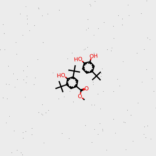 CC(C)(C)c1ccc(O)c(O)c1.COC(=O)c1cc(C(C)(C)C)c(O)c(C(C)(C)C)c1